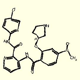 C[S+]([O-])c1ccc(C(=O)Nc2cccnc2C(=O)Nc2ccc(Cl)cn2)c(O[C@H]2CCNC2)c1